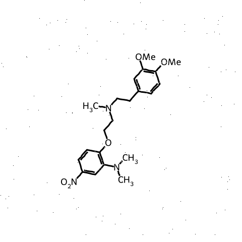 COc1ccc(CCN(C)CCOc2ccc([N+](=O)[O-])cc2N(C)C)cc1OC